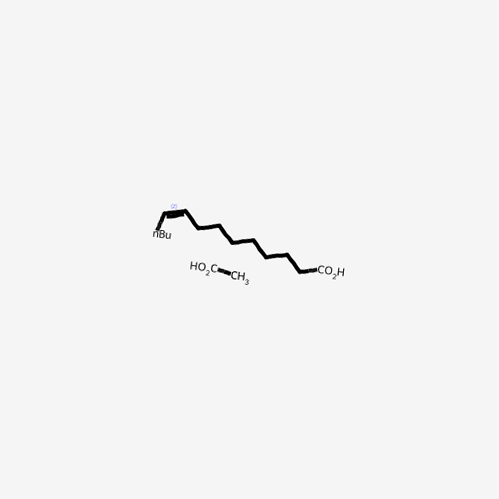 CC(=O)O.CCCC/C=C\CCCCCCCC(=O)O